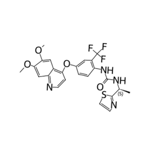 COc1cc2nccc(Oc3ccc(NC(=O)N[C@@H](C)c4nccs4)c(C(F)(F)F)c3)c2cc1OC